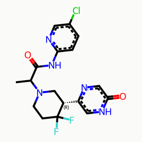 CC(C(=O)Nc1ccc(Cl)cn1)N1CCC(F)(F)[C@@H](c2c[nH]c(=O)cn2)C1